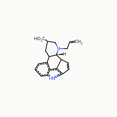 C=CCN1C[C@H](C(=O)O)CC2c3cccc4[nH]c5c(c34)C(C=C5)[C@H]21